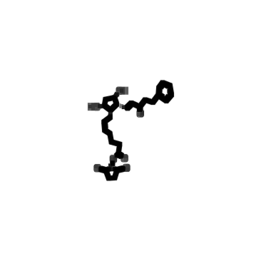 O=C(/C=C/[C@@H]1[C@@H](C/C=C\CCCC(=O)ON2C(=O)CCC2=O)[C@@H](O)C[C@H]1O)CCc1ccccc1